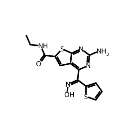 CCNC(=O)c1cc2c(C(=NO)c3cccs3)nc(N)nc2s1